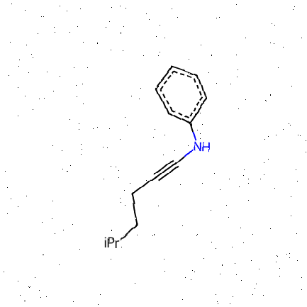 CC(C)CCC#CNc1ccccc1